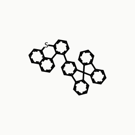 c1ccc2c(c1)-c1ccccc1C21c2ccccc2-c2ccc(-c3cccc4c3-c3cccc5cccc(c35)S4)cc21